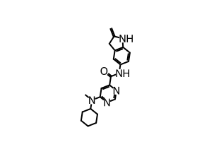 C=C1Cc2cc(NC(=O)c3cc(N(C)C4CCCCC4)ncn3)ccc2N1